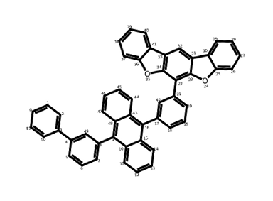 c1ccc(-c2cccc(-c3c4ccccc4c(-c4cccc(-c5c6oc7ccccc7c6cc6c5oc5ccccc56)c4)c4ccccc34)c2)cc1